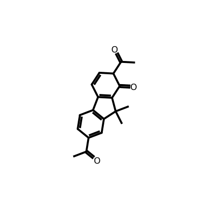 CC(=O)c1ccc2c(c1)C(C)(C)C1=C2C=CC(C(C)=O)C1=O